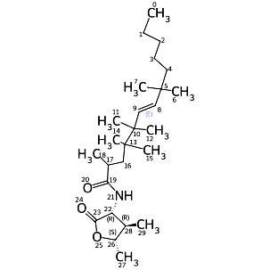 CCCCCC(C)(C)/C=C/C(C)(C)C(C)(C)CC(C)C(=O)N[C@H]1C(=O)O[C@@H](C)[C@@H]1C